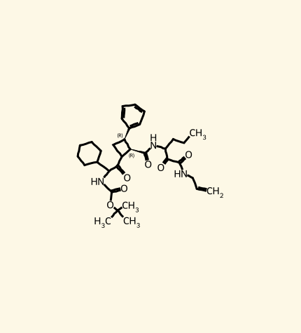 C=CCNC(=O)C(=O)C(CCC)NC(=O)[C@H]1C(C(=O)C(NC(=O)OC(C)(C)C)C2CCCCC2)C[C@H]1c1ccccc1